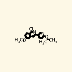 COc1ccc2c(Cl)nc(-c3ccc(OC(C)C)nc3)cc2c1